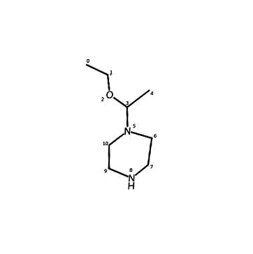 C[CH]OC(C)N1CCNCC1